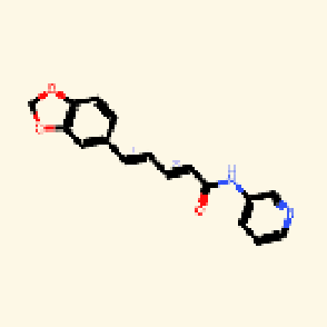 O=C(/C=C/C=C/c1ccc2c(c1)OCO2)Nc1cccnc1